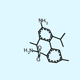 Cc1ccc(S(N)(=O)=O)c(-c2c(C(C)C)cc(N)cc2C(C)C)c1